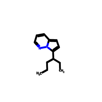 CCCC(CC)c1ccc2cccnn12